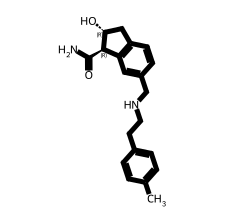 Cc1ccc(CCNCc2ccc3c(c2)[C@@H](C(N)=O)[C@H](O)C3)cc1